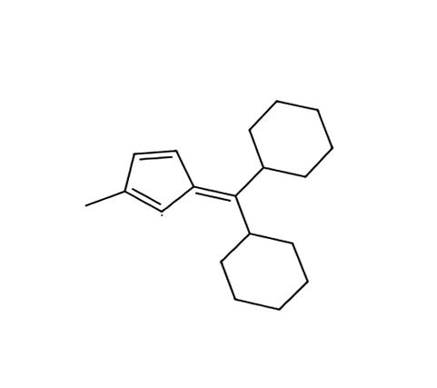 CC1=[C]C(=C(C2CCCCC2)C2CCCCC2)C=C1